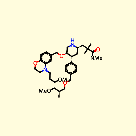 CNC(=O)C(C)(C)C[C@H]1C[C@H](c2ccc(COC[C@@H](C)COC)cc2)[C@@H](OCc2ccc3c(c2)N(CCCOC)CCO3)CN1